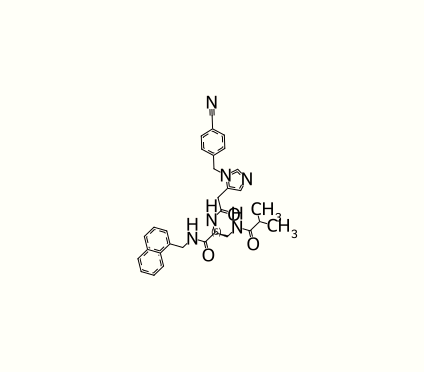 CC(C)C(=O)NC[C@H](NC(=O)Cc1cncn1Cc1ccc(C#N)cc1)C(=O)NCc1cccc2ccccc12